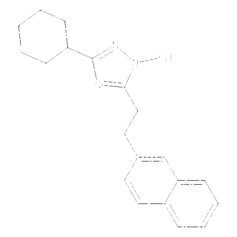 Cn1nc(C2CCCCC2)nc1CCc1ccc2ccccc2c1